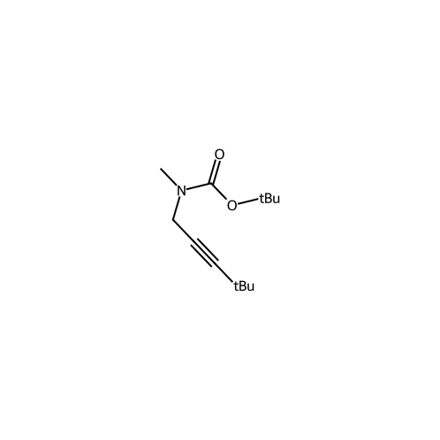 CN(CC#CC(C)(C)C)C(=O)OC(C)(C)C